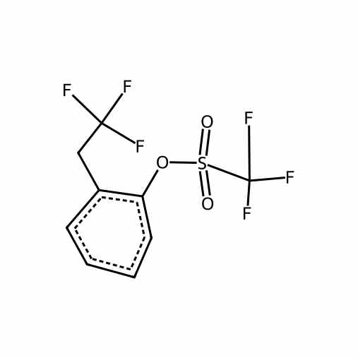 O=S(=O)(Oc1ccccc1CC(F)(F)F)C(F)(F)F